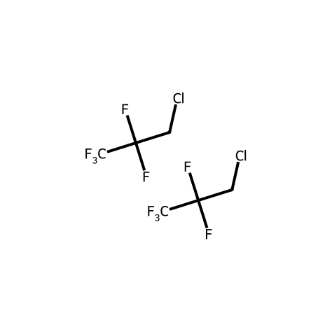 FC(F)(F)C(F)(F)CCl.FC(F)(F)C(F)(F)CCl